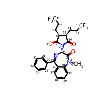 CN1C(=O)[C@H](N2C(=O)[C@@H](CCC(F)(F)F)[C@@H](CCC(F)(F)F)C2=O)N=C(c2ccccc2)c2ccccc21